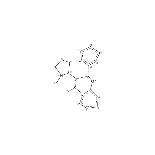 CSc1ccccc1OC(CC1CCCN1C)c1ccccc1